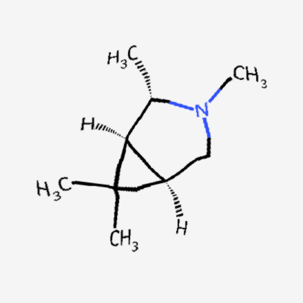 C[C@H]1[C@H]2[C@@H](CN1C)C2(C)C